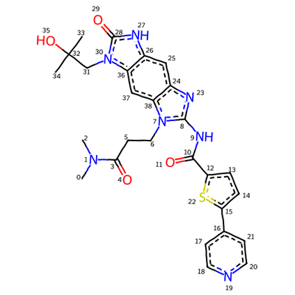 CN(C)C(=O)CCn1c(NC(=O)c2ccc(-c3ccncc3)s2)nc2cc3[nH]c(=O)n(CC(C)(C)O)c3cc21